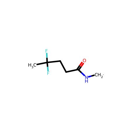 [CH2]NC(=O)CCC(C)(F)F